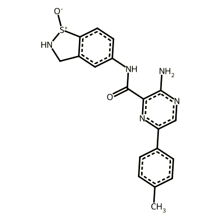 Cc1ccc(-c2cnc(N)c(C(=O)Nc3ccc4c(c3)CN[S+]4[O-])n2)cc1